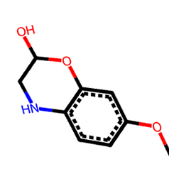 COc1ccc2c(c1)OC(O)CN2